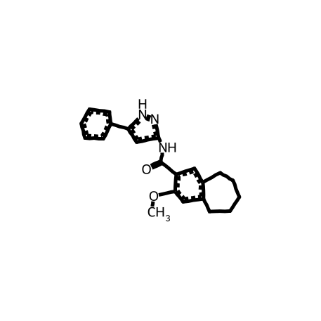 COc1cc2c(cc1C(=O)Nc1cc(-c3ccccc3)[nH]n1)CCCCC2